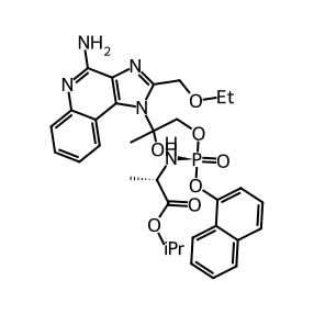 CCOCc1nc2c(N)nc3ccccc3c2n1C(C)(O)CO[P@@](=O)(N[C@@H](C)C(=O)OC(C)C)Oc1cccc2ccccc12